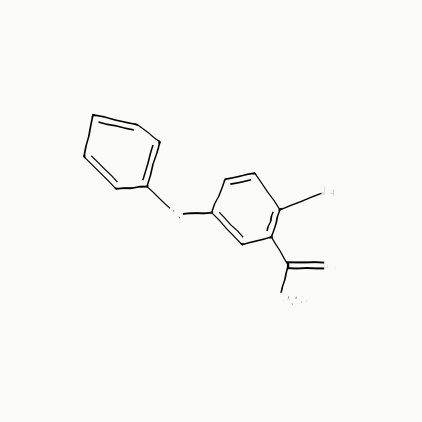 COC(=O)c1cc(Nc2ccccc2)ccc1Br